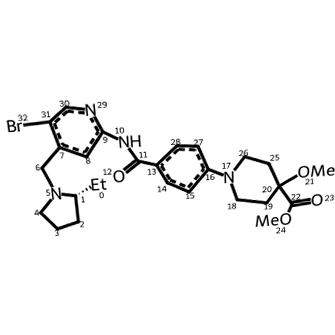 CC[C@@H]1CCCN1Cc1cc(NC(=O)c2ccc(N3CCC(OC)(C(=O)OC)CC3)cc2)ncc1Br